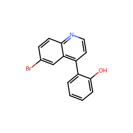 Oc1ccccc1-c1ccnc2ccc(Br)cc12